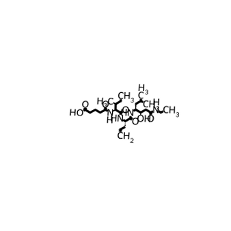 C=CC[C@H](NC(=O)[C@@H](NC(=O)CCCC(=O)O)[C@@H](C)CC)C(=O)N[C@@H](CC(C)C)[C@@H](O)CC(=O)NCC